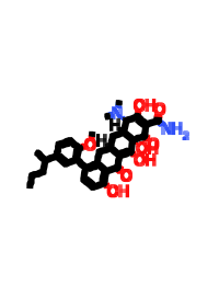 CCCC(C)c1ccc(OC)c(-c2ccc(O)c3c2C[C@H]2C[C@H]4[C@H](N(C)C)C(O)=C(C(N)=O)C(=O)[C@@]4(O)C(O)=C2C3=O)c1